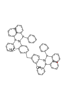 Cc1cc(Cc2ccc(N(P(c3ccccc3)c3ccccc3)P(c3ccccc3)c3ccccc3)c(C)c2)ccc1N(P(c1ccccc1)c1ccccc1)P(c1ccccc1)c1ccccc1